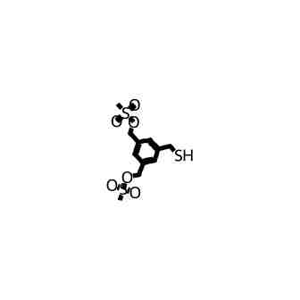 CS(=O)(=O)OCc1cc(CS)cc(COS(C)(=O)=O)c1